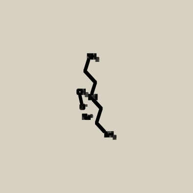 C[O-].NCCNCCN.[Na+]